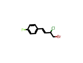 Fc1ccc(C=CC(Cl)CBr)cc1